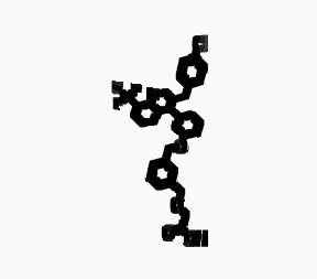 O=C(O)COCc1cccc(COc2cccc(-c3c(Cc4ccc(Cl)cc4)cnc4c(C(F)(F)F)cccc34)c2)c1